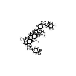 CC[C@@H]1CC[C@]2(NCCN3CCS(=O)(=O)CC3)CC[C@]3(C)[C@H](CC[C@@H]4[C@@]5(C)CC=C(C6=CCC(COc7cccnc7)(C(=O)O)CC6)C(C)(C)[C@@H]5CC[C@]43C)[C@@H]12